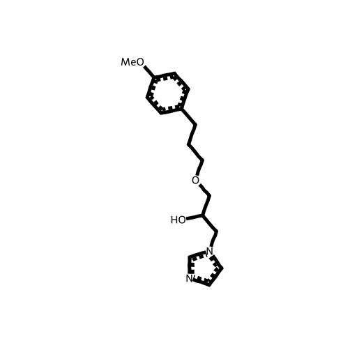 COc1ccc(CCCOCC(O)Cn2ccnc2)cc1